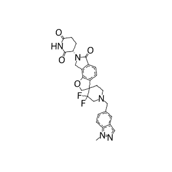 Cn1ncc2cc(CN3CCC4(COc5c4ccc4c5CN([C@H]5CCC(=O)NC5=O)C4=O)C(F)(F)C3)ccc21